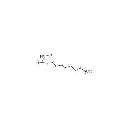 [CH2]CC(CCCCCCCCCCCCCCCC)NCC